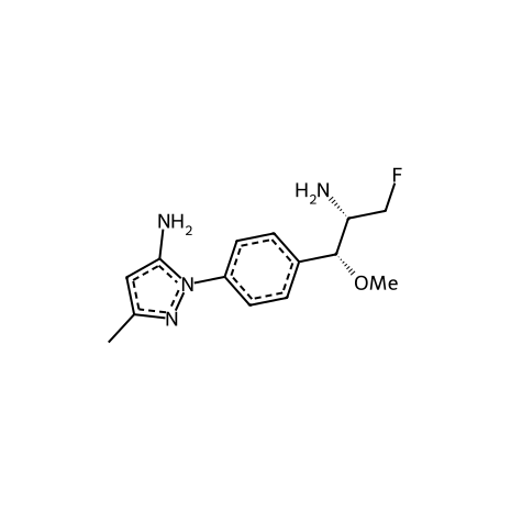 CO[C@H](c1ccc(-n2nc(C)cc2N)cc1)[C@H](N)CF